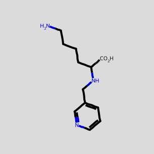 NCCCCC(NCc1cccnc1)C(=O)O